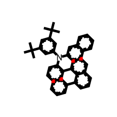 CC(C)(C)c1cc(N(c2ccc3ccccc3c2)c2ccccc2-c2cccc3cccc(-c4ccccc4)c23)cc(C(C)(C)C)c1